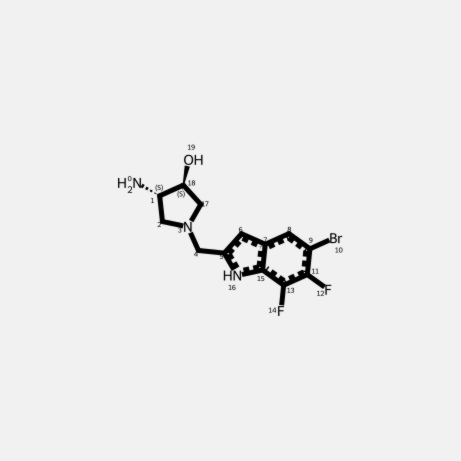 N[C@H]1CN(Cc2cc3cc(Br)c(F)c(F)c3[nH]2)C[C@@H]1O